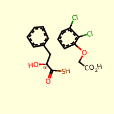 O=C(O)COc1cccc(Cl)c1Cl.O=C(S)[C@@H](O)Cc1ccccc1